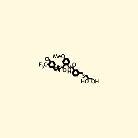 COc1ccc(NC(=O)c2cccc(CSCC(O)CO)c2)c(C(=O)N/N=C\c2ccc(Cl)c(C(F)(F)F)c2)c1